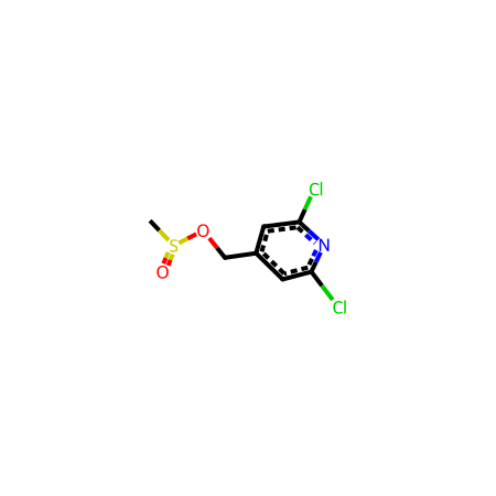 CS(=O)OCc1cc(Cl)nc(Cl)c1